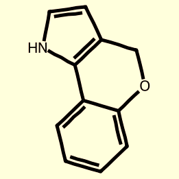 c1ccc2c(c1)OCc1cc[nH]c1-2